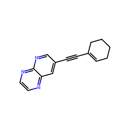 C(#Cc1cnc2nccnc2c1)C1=CCCCC1